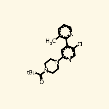 Cc1cccnc1-c1cc(N2CCN(C(=O)C(C)(C)C)CC2)ncc1Cl